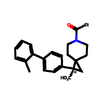 CCC(=O)N1CCC2(CC1)C[C@]2(C(=O)O)c1ccc(-c2ccccc2C)cc1